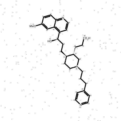 COc1ccc2nccc([C@H](O)CC[C@@H]3CCN(CCCc4ccncc4)C[C@H]3CCC(=O)O)c2c1